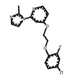 Cc1nccn1-c1cc(OCCOc2ccc(Cl)cc2F)ccn1